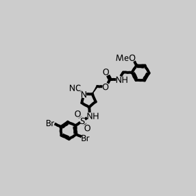 COc1ccccc1CNC(=O)OC[C@H]1CC(NS(=O)(=O)c2cc(Br)ccc2Br)CN1C#N